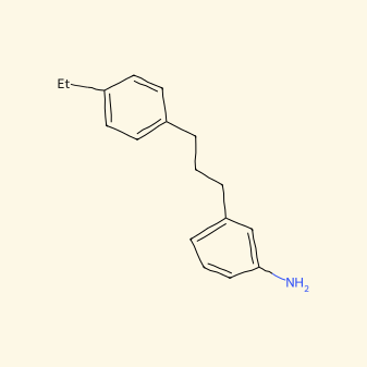 CCc1ccc(CCCc2cccc(N)c2)cc1